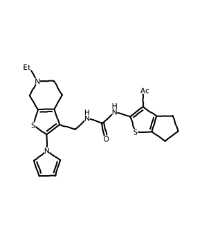 CCN1CCc2c(sc(-n3cccc3)c2CNC(=O)Nc2sc3c(c2C(C)=O)CCC3)C1